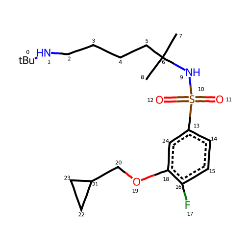 CC(C)(C)NCCCCC(C)(C)NS(=O)(=O)c1ccc(F)c(OCC2CC2)c1